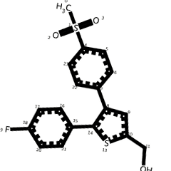 CS(=O)(=O)c1ccc(-c2cc(CO)sc2-c2ccc(F)cc2)cc1